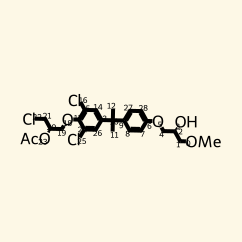 COC[C@@H](O)COc1ccc(C(C)(C)c2cc(Cl)c(OC[C@H](CCl)OC(C)=O)c(Cl)c2)cc1